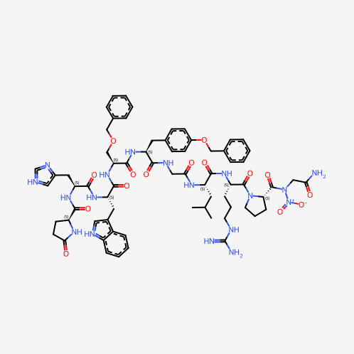 CC(C)C[C@H](NC(=O)CNC(=O)[C@H](Cc1ccc(OCc2ccccc2)cc1)NC(=O)[C@H](COCc1ccccc1)NC(=O)[C@H](Cc1c[nH]c2ccccc12)NC(=O)[C@H](Cc1c[nH]cn1)NC(=O)[C@@H]1CCC(=O)N1)C(=O)N[C@@H](CCCNC(=N)N)C(=O)N1CCC[C@H]1C(=O)N(CC(N)=O)[N+](=O)[O-]